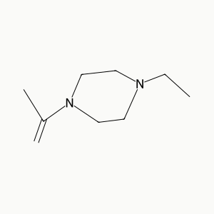 C=C(C)N1CCN(CC)CC1